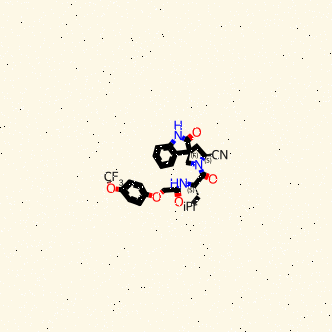 CC(C)C[C@H](NC(=O)COc1ccc(OC(F)(F)F)cc1)C(=O)N1C[C@]2(C[C@H]1C#N)C(=O)Nc1ccccc12